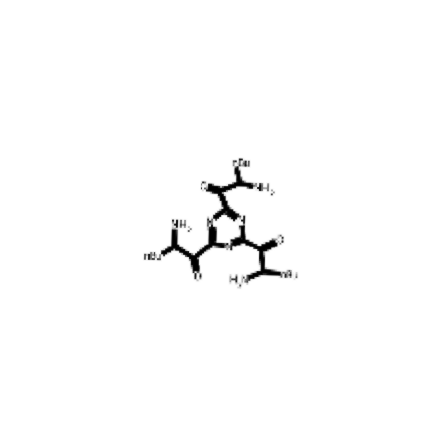 CCCCC(N)C(=O)c1nc(C(=O)C(N)CCCC)nc(C(=O)C(N)CCCC)n1